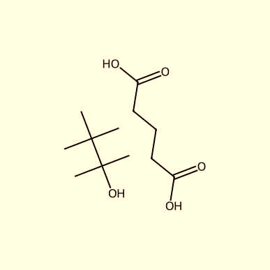 CC(C)(C)C(C)(C)O.O=C(O)CCCC(=O)O